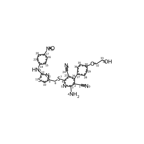 N#Cc1c(N)nc(SCc2csc(Nc3ccc(N=O)cc3)n2)c(C#N)c1-c1ccc(OCCO)cc1